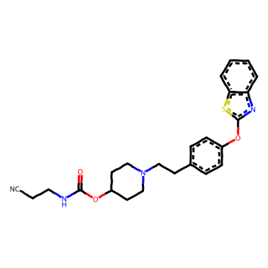 N#CCCNC(=O)OC1CCN(CCc2ccc(Oc3nc4ccccc4s3)cc2)CC1